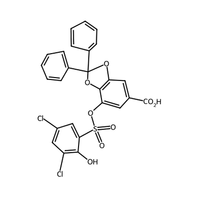 O=C(O)c1cc2c(c(OS(=O)(=O)c3cc(Cl)cc(Cl)c3O)c1)OC(c1ccccc1)(c1ccccc1)O2